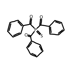 O=C(c1ccccc1)P(=S)(C(=O)c1ccccc1)C(=O)c1ccccc1